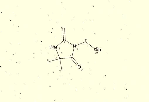 C=C1NC(C)(C)C(=O)N1CC(C)(C)C